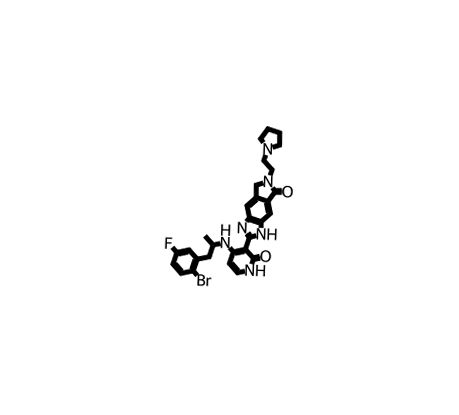 CC(Cc1cc(F)ccc1Br)Nc1cc[nH]c(=O)c1-c1nc2cc3c(cc2[nH]1)C(=O)N(CCN1CCCC1)C3